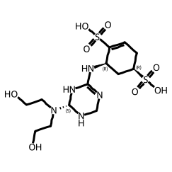 O=S(=O)(O)C1=CC[C@@H](S(=O)(=O)O)C[C@H]1NC1=NCN[C@H](N(CCO)CCO)N1